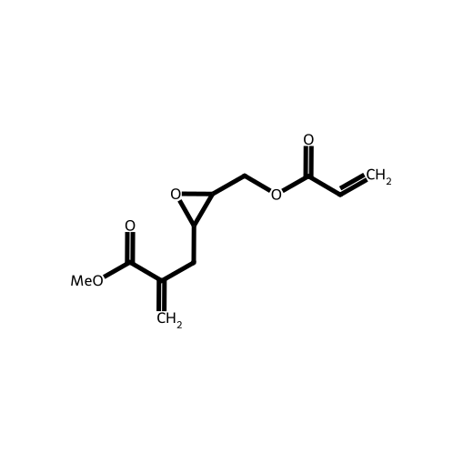 C=CC(=O)OCC1OC1CC(=C)C(=O)OC